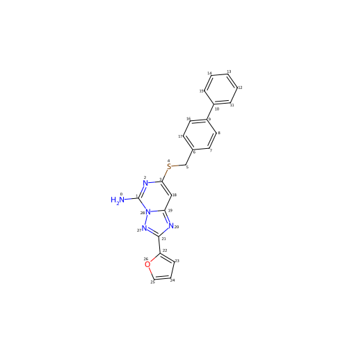 Nc1nc(SCc2ccc(-c3ccccc3)cc2)cc2nc(-c3ccco3)nn12